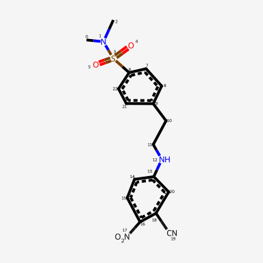 CN(C)S(=O)(=O)c1ccc(CCNc2ccc([N+](=O)[O-])c(C#N)c2)cc1